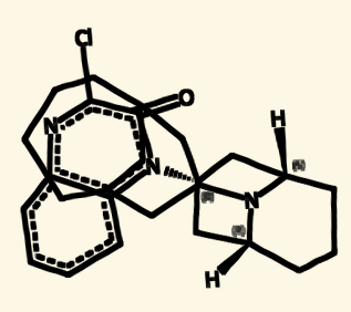 O=c1c(Cl)nc2ccccc2n1[C@H]1C[C@H]2CCC[C@@H](C1)N2C1CC2CCCCC(C2)C1